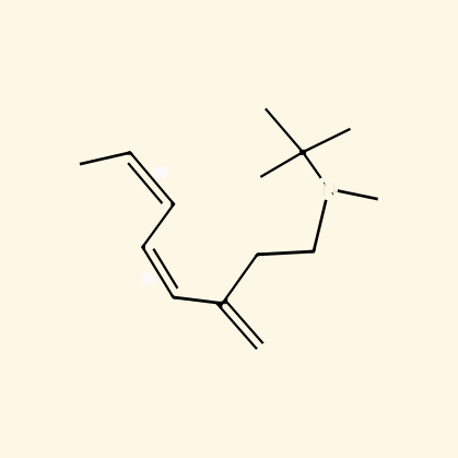 C=C(/C=C\C=C/C)CCN(C)C(C)(C)C